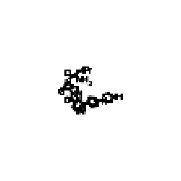 CC(C)CC(N)C(=O)N1CC(=O)C2C1CCN2C(=O)C(CC(C)C)NC(=O)c1ccc(N2CCNCC2)cc1